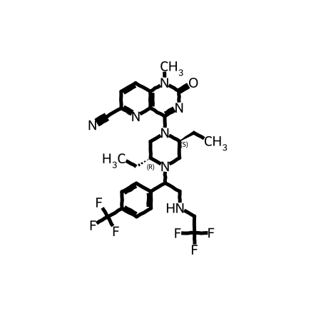 CC[C@H]1CN(C(CNCC(F)(F)F)c2ccc(C(F)(F)F)cc2)[C@H](CC)CN1c1nc(=O)n(C)c2ccc(C#N)nc12